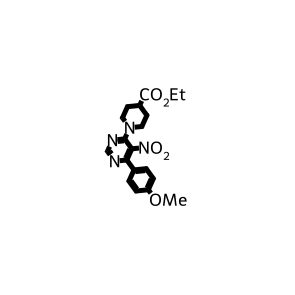 CCOC(=O)C1CCN(c2ncnc(-c3ccc(OC)cc3)c2[N+](=O)[O-])CC1